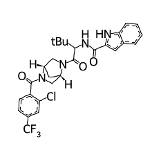 CC(C)(C)C(NC(=O)c1cc2ccccc2[nH]1)C(=O)N1C[C@@H]2C[C@H]1CN2C(=O)c1ccc(C(F)(F)F)cc1Cl